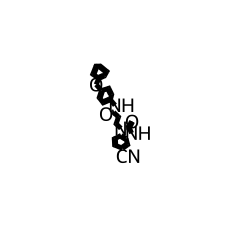 N#Cc1ccc2c(c1)[nH]c(=O)n2CCC(=O)Nc1ccc(Oc2ccccc2)cc1